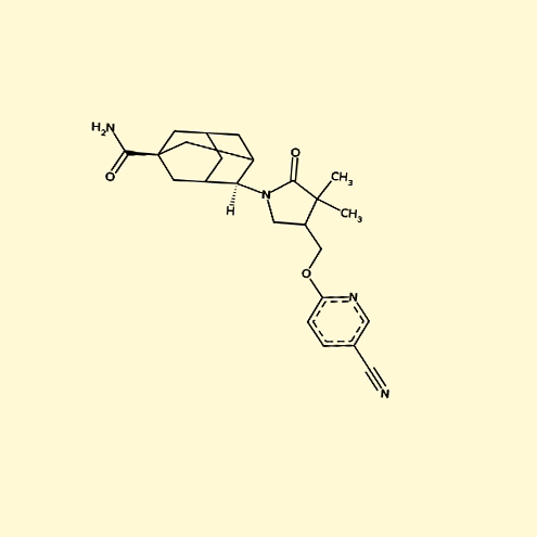 CC1(C)C(=O)N([C@H]2C3CC4CC2C[C@@](C(N)=O)(C4)C3)CC1COc1ccc(C#N)cn1